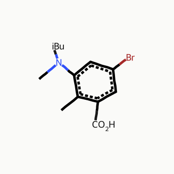 CCC(C)N(C)c1cc(Br)cc(C(=O)O)c1C